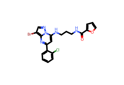 O=C(NCCCNc1cc(-c2ccccc2Cl)nc2c(Br)cnn12)c1ccco1